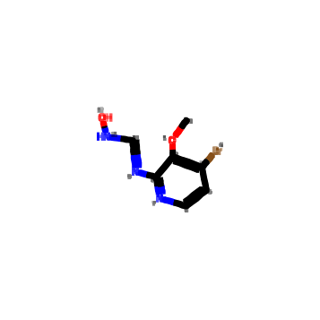 COc1c(Br)ccnc1/N=C/NO